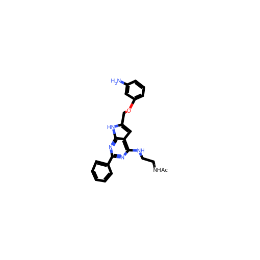 CC(=O)NCCNc1nc(-c2ccccc2)nc2[nH]c(COc3cccc(N)c3)cc12